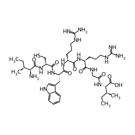 CC[C@H](C)[C@H](N)C(=O)N[C@@H](CS)C(=O)N[C@@H](Cc1c[nH]c2ccccc12)C(=O)N[C@@H](CCCNC(=N)N)C(=O)N[C@@H](CCCNC(=N)N)C(=O)NCC(=O)N[C@H](C(=O)O)[C@@H](C)CC